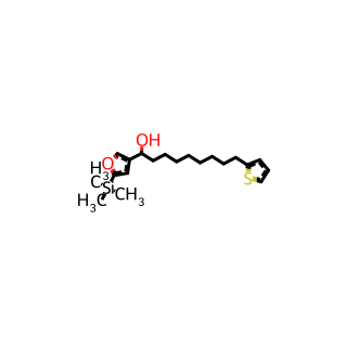 C[Si](C)(C)c1cc(C(O)CCCCCCCCc2cccs2)co1